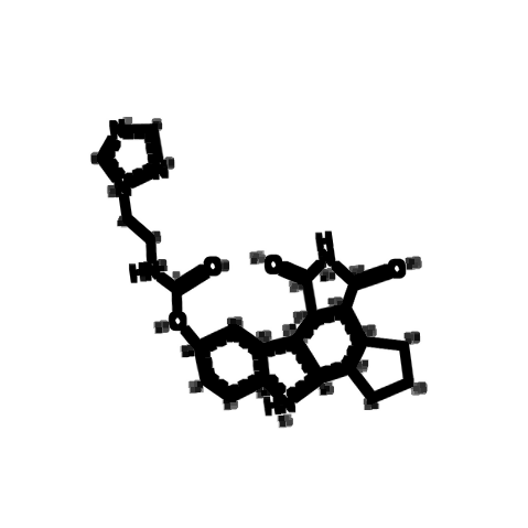 O=C(NCCn1cncn1)Oc1ccc2[nH]c3c4c(c5c(c3c2c1)C(=O)NC5=O)CCC4